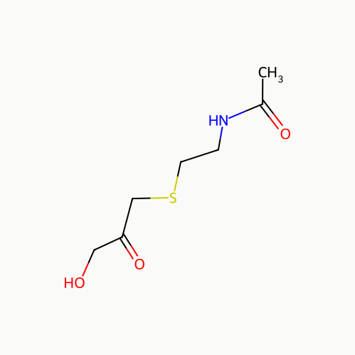 CC(=O)NCCSCC(=O)CO